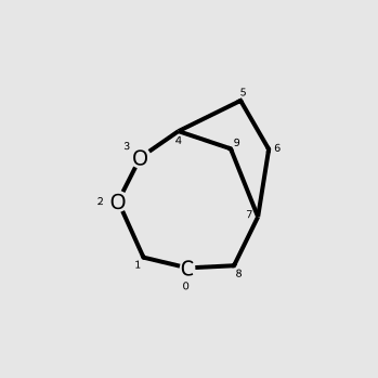 C1COOC2CCC(C1)C2